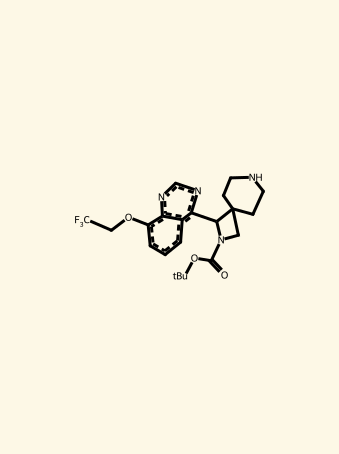 CC(C)(C)OC(=O)N1CC2(CCNCC2)C1c1ncnc2c(OCC(F)(F)F)cccc12